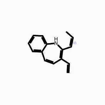 C=CC1=C(/C=C\C)Nc2ccccc2C=C1